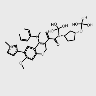 C=C(C(=O)N([C@H]1CC[C@@H](OC(O)(O)O)C1)C(O)(O)O)C1=C(N(C)C(/C=C\C)=C/C)c2cc(-c3ccn(C)c3)c(OC)cc2OC1